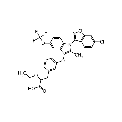 CCOC(Cc1cccc(Oc2c(C)n(-c3noc4cc(Cl)ccc34)c3ccc(OC(F)(F)F)cc23)c1)C(=O)O